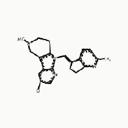 Cc1ccc2c(n1)CC/C2=C\n1c2c(c3cc(Cl)cnc31)CN(C)CC2